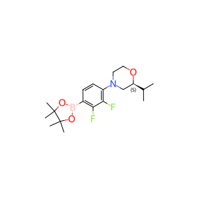 CC(C)[C@H]1CN(c2ccc(B3OC(C)(C)C(C)(C)O3)c(F)c2F)CCO1